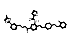 Cc1csc(-c2cccc(CCCC(=O)c3ccc(CCC4CCC(CCc5ccccc5C)CC4)c(NC(=O)c4ccco4)c3)c2)n1